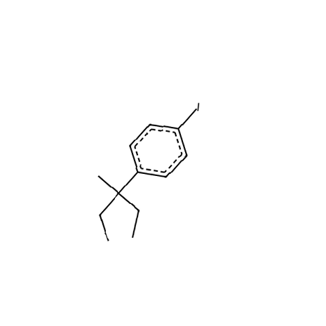 CCC(C)(CC)c1ccc(I)cc1